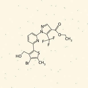 CCOC(=O)c1cnn(-c2cccc(-c3sc(C)c(Br)c3CO)n2)c1C(F)(F)F